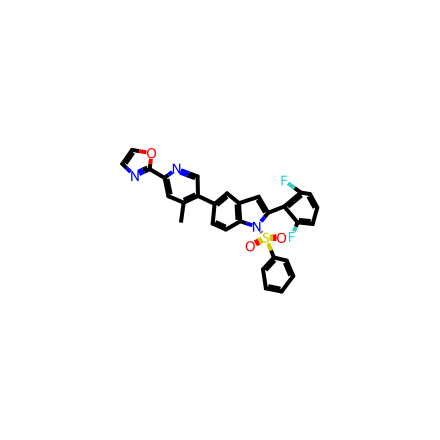 Cc1cc(-c2ncco2)ncc1-c1ccc2c(c1)cc(-c1c(F)cccc1F)n2S(=O)(=O)c1ccccc1